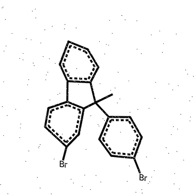 CC1(c2ccc(Br)cc2)c2ccccc2-c2ccc(Br)cc21